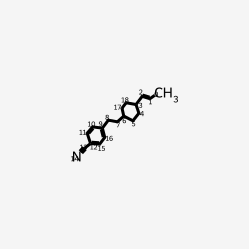 C/C=C/C1CCC(CCc2ccc(C#N)cc2)CC1